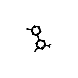 Cc1cccc(-c2cc(C)cc(F)c2)c1